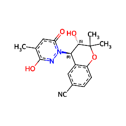 Cc1cc(=O)n([C@@H]2c3cc(C#N)ccc3OC(C)(C)[C@H]2O)nc1O